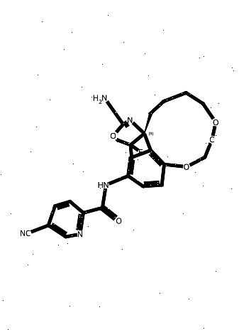 N#Cc1ccc(C(=O)Nc2ccc3c(c2)[C@@]2(CCCCOCCO3)N=C(N)OCC2(F)F)nc1